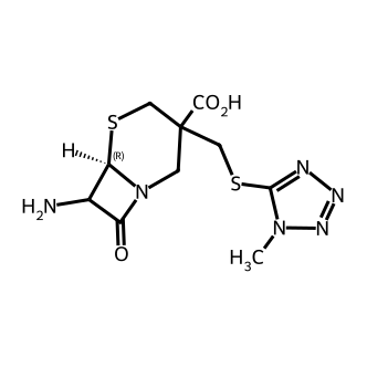 Cn1nnnc1SCC1(C(=O)O)CS[C@@H]2C(N)C(=O)N2C1